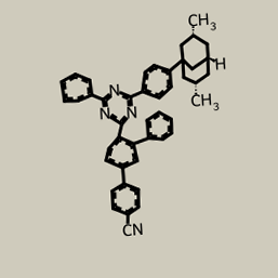 C[C@@H]1C[C@@H]2C[C@H](C)CC(c3ccc(-c4nc(-c5ccccc5)nc(-c5ccc(-c6ccc(C#N)cc6)cc5-c5ccccc5)n4)cc3)(C1)C2